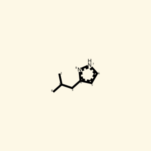 CC(C)Cc1cc[nH]n1